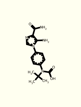 CC(C)(C)N(C(=O)O)c1ccc(-n2cnc(C(N)=O)c2N)cc1